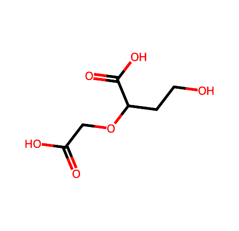 O=C(O)COC(CCO)C(=O)O